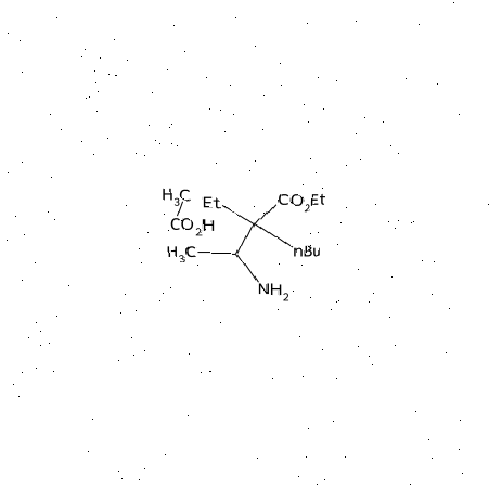 CC(=O)O.CCCCC(CC)(C(=O)OCC)C(C)N